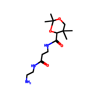 CC1(C)OCC(C)(C)C(C(=O)NCCC(=O)NCCN)O1